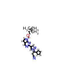 C[Si](C)(C)CCOCn1ccc2cnc(-c3cnn([C@H](CC#N)C4CCCC4)c3)nc21